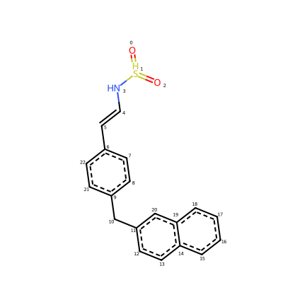 O=[SH](=O)NC=Cc1ccc(Cc2ccc3ccccc3c2)cc1